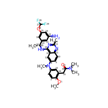 COc1ccc(N(C)c2ccc3nc(C)nc(N[C@H](C)c4cc(N)cc(OC(F)F)c4)c3c2)cc1CC(=O)N(C)C